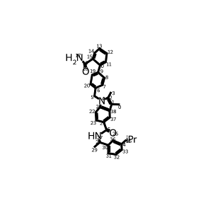 Cc1c(C)n(Cc2ccc(-c3ccccc3C(N)=O)cc2)c2ccc(C(=O)NC(C)c3cccc(C(C)C)c3)cc12